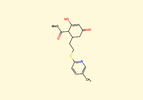 COC(=O)C1C(O)=CC(=O)CC1CCSc1ccc(C)cn1